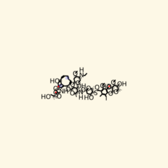 CCN[C@H]1CO[C@@H](O[C@H]2[C@H](O[C@H]3C#C/C=C/C#C[C@]4(O)CC(=O)C(NC(=O)OC)=C3/C4=C\CSS[C@H](C)CO)O[C@H](C)[C@@H](NO[C@H]3C[C@H](O)[C@H](SC(=O)c4c(C)c(I)c(O[C@@H]5O[C@@H](C)[C@H](O)[C@@H](OC)[C@H]5O)c(OC)c4OC)[C@@H](C)O3)[C@@H]2O)C[C@@H]1OC